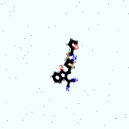 N#CC(C#N)=C1/C(=C/c2cc3sc(-c4ccco4)nc3s2)C(=O)c2ccccc21